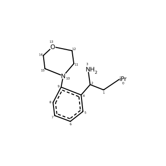 CC(C)CC(N)c1ccccc1N1CCOCC1